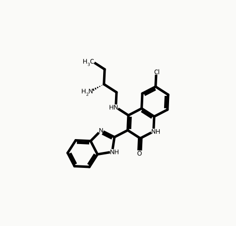 CC[C@@H](N)CNc1c(-c2nc3ccccc3[nH]2)c(=O)[nH]c2ccc(Cl)cc12